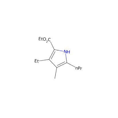 CCCc1[nH]c(C(=O)OCC)c(CC)c1C